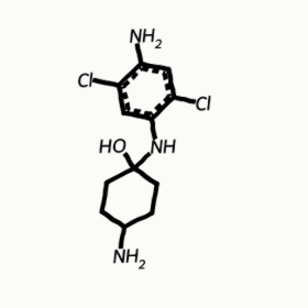 Nc1cc(Cl)c(NC2(O)CCC(N)CC2)cc1Cl